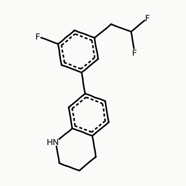 Fc1cc(CC(F)F)cc(-c2ccc3c(c2)NCCC3)c1